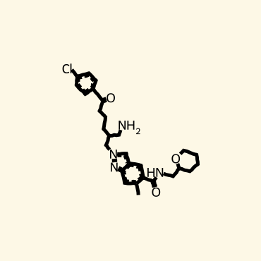 Cc1cc2nn(CC(CN)CCCC(=O)c3ccc(Cl)cc3)cc2cc1C(=O)NCC1CCCCO1